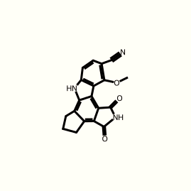 COc1c(C#N)ccc2[nH]c3c4c(c5c(c3c12)C(=O)NC5=O)CCC4